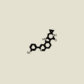 N#Cc1cccc(-c2cc3c(cn2)CCc2c-3[nH]c3c2C(=O)NC2(CC2)C3)c1